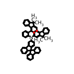 CC1(C)c2ccccc2-c2ccc(N(c3ccc4c(c3)-c3ccccc3C43c4ccccc4-c4ccccc43)c3ccccc3-c3cccc4c3-c3ccccc3C4(C)C)cc21